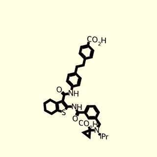 CC(C)N(Cc1cccc(C(=O)Nc2sc3c(c2C(=O)Nc2ccc(CCc4ccc(C(=O)O)cc4)cc2)CCCC3)c1)C1(C(=O)O)CC1